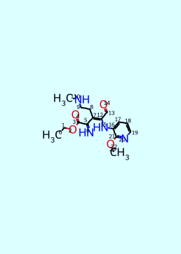 CCOC(=O)C(=N)/C(CCNC)=C(/C=O)Nc1cccnc1OC